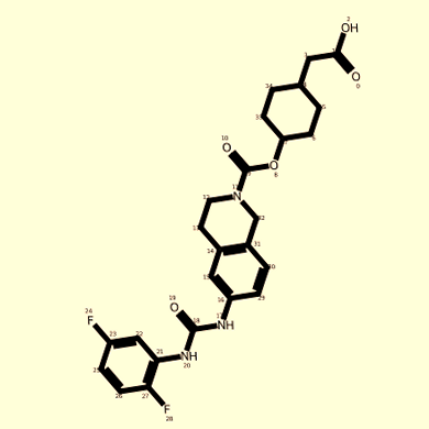 O=C(O)CC1CCC(OC(=O)N2CCc3cc(NC(=O)Nc4cc(F)ccc4F)ccc3C2)CC1